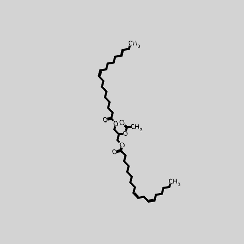 CCCCC/C=C\C/C=C\CCCCCCCC(=O)OCC(COC(=O)CCCCCCC/C=C\CCCCCCCC)OC(C)=O